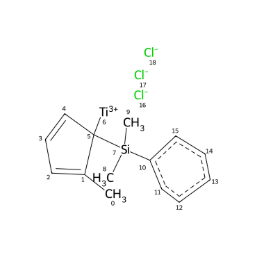 CC1=CC=C[C]1([Ti+3])[Si](C)(C)c1ccccc1.[Cl-].[Cl-].[Cl-]